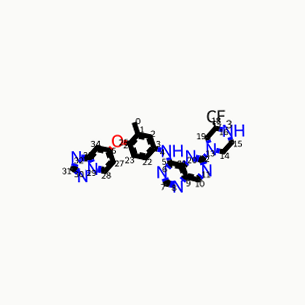 Cc1cc(Nc2ncnc3cnc(N4CCN[C@@H](C(F)(F)F)C4)nc23)ccc1Oc1ccn2ncnc2c1